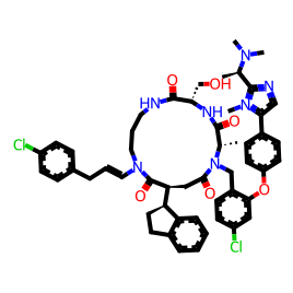 C[C@H](c1ncc(-c2ccc(Oc3cc(Cl)ccc3CN3C(=O)C[C@@H]([C@@H]4CCc5ccccc54)C(=O)N(/C=C/Cc4ccc(Cl)cc4)CCCNC(=O)[C@H](CO)NC(=O)[C@@H]3C)cc2)n1C)N(C)C